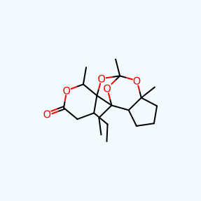 CCC1CC(=O)OC(C)C12OC1(C)OC3(C)CCCC3C2(CC)O1